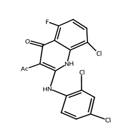 CC(=O)c1c(Nc2ccc(Cl)cc2Cl)[nH]c2c(Cl)ccc(F)c2c1=O